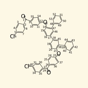 O=C(c1ccc(Cl)cc1)c1ccc(Oc2ccc(-c3ccc(Oc4ccc(C(=O)c5ccc(Cl)cc5)cc4)c(-c4ccccc4)c3)cc2-c2ccccc2)cc1